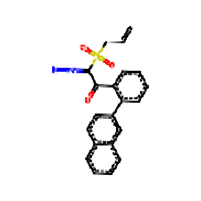 C=CCS(=O)(=O)C(=[N+]=[N-])C(=O)c1ccccc1-c1ccc2ccccc2c1